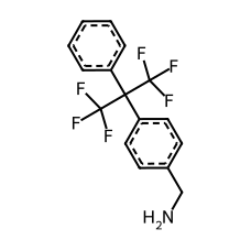 NCc1ccc(C(c2ccccc2)(C(F)(F)F)C(F)(F)F)cc1